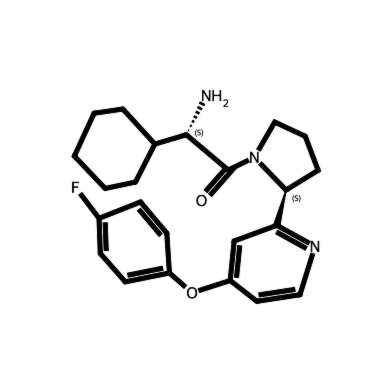 N[C@H](C(=O)N1CCC[C@H]1c1cc(Oc2ccc(F)cc2)ccn1)C1CCCCC1